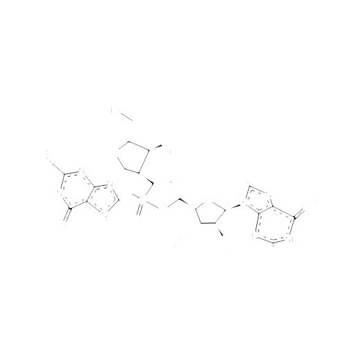 C[C@@H]([C@@H]1[C@H](O)[C@@H](CO)O[C@H]1n1cnc2c(=O)[nH]c(N)nc21)P(=O)(O)OC[C@H]1O[C@@H](n2cnc3c(=O)[nH]cnc32)[C@@H](Cl)[C@@H]1O